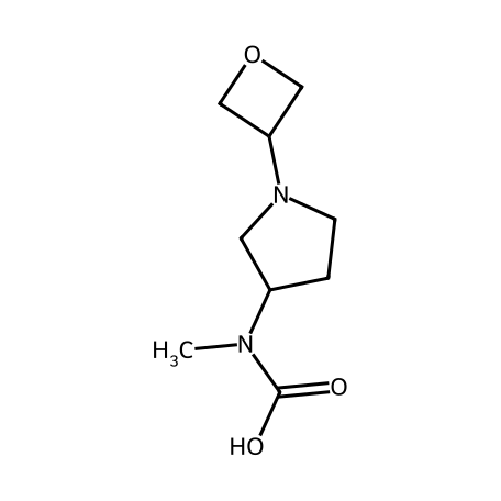 CN(C(=O)O)C1CCN(C2COC2)C1